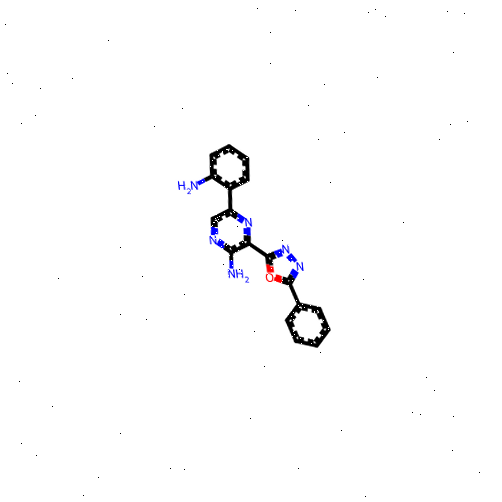 Nc1ccccc1-c1cnc(N)c(-c2nnc(-c3ccccc3)o2)n1